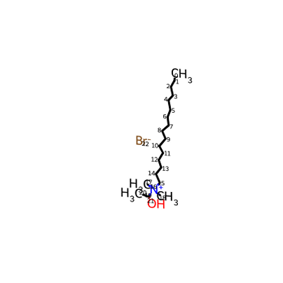 CCCCCCCCCCCCCCCC[N+](C)(C)C(C)O.[Br-]